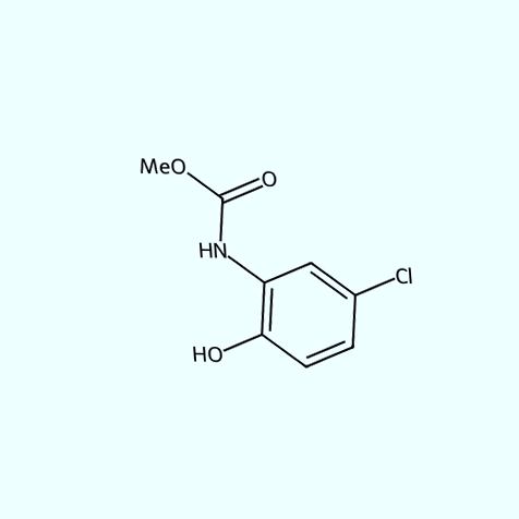 COC(=O)Nc1cc(Cl)ccc1O